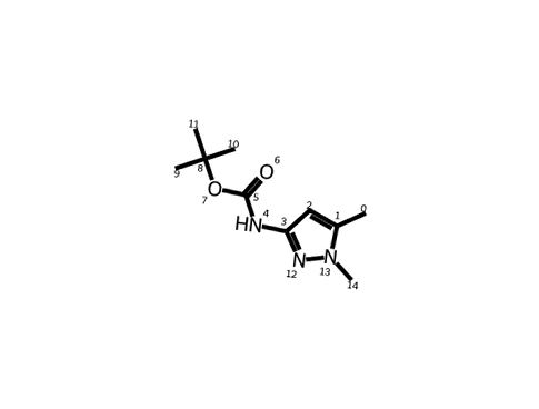 Cc1cc(NC(=O)OC(C)(C)C)nn1C